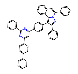 c1ccc(-c2ccc(-c3cc(-c4ccc(-c5c(-c6ccccc6)nn6c(-c7ccccc7)cc7ccccc7c56)cc4)nc(-c4ccccc4)n3)cc2)cc1